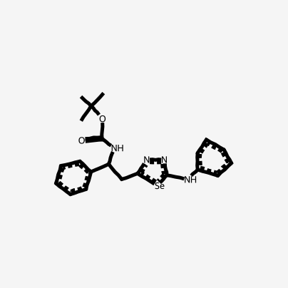 CC(C)(C)OC(=O)NC(Cc1nnc(Nc2ccccc2)[se]1)c1ccccc1